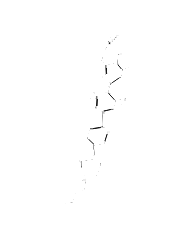 CCCCC1CCC(c2ccc(-c3cc(F)c(-c4cc(F)c(OC(F)(F)F)c(F)c4)c(F)c3)cc2)CC1